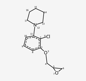 Clc1c(OCC2CO2)cccc1N1CCCCC1